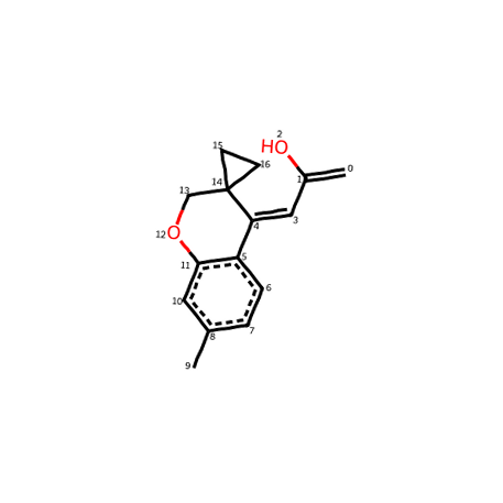 C=C(O)/C=C1/c2ccc(C)cc2OCC12CC2